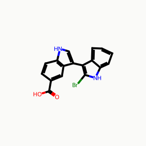 O=C(O)c1ccc2[nH]cc(-c3c(Br)[nH]c4ccccc34)c2c1